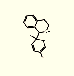 FC1=C[CH]C(F)(C2NCCc3ccccc32)C=C1